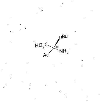 CCCC[C@@](N)(C(C)=O)C(=O)O